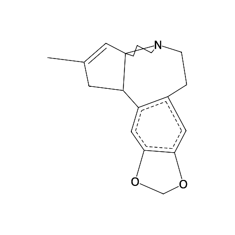 CC1=CC23CCCN2CCc2cc4c(cc2C3C1)OCO4